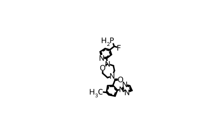 Cc1ccc(-n2nccn2)c(C(=O)N2CCON(c3cc(C(F)P)ccn3)CC2)c1